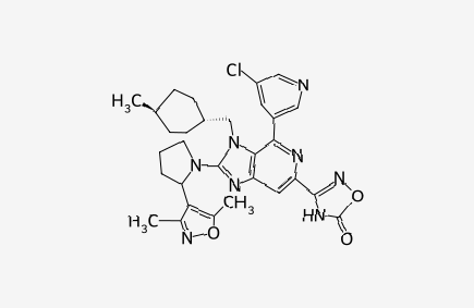 Cc1noc(C)c1C1CCCN1c1nc2cc(-c3noc(=O)[nH]3)nc(-c3cncc(Cl)c3)c2n1C[C@H]1CC[C@H](C)CC1